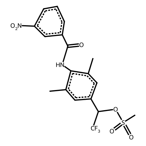 Cc1cc(C(OS(C)(=O)=O)C(F)(F)F)cc(C)c1NC(=O)c1cccc([N+](=O)[O-])c1